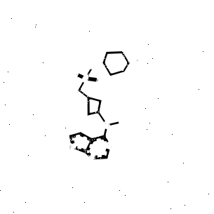 CN(c1ncnc2[nH]ccc12)C1CC(CS(=O)(=O)C[C@H]2CC[C@@H](C(F)(F)F)CC2)C1